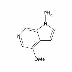 COc1cncc2c1ccn2P